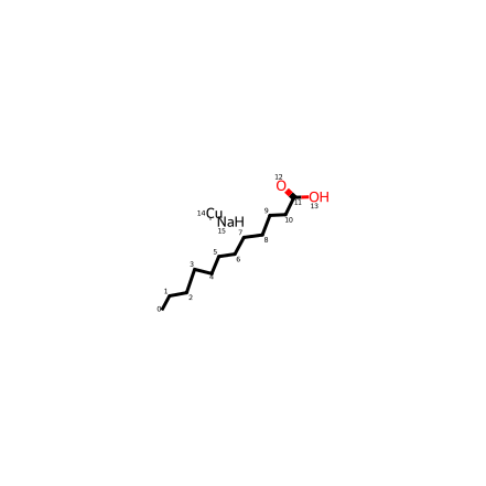 CCCCCCCCCCCC(=O)O.[Cu].[NaH]